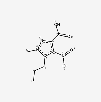 CCCc1c([N+](=O)[O-])c(C(=O)O)nn1C